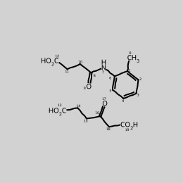 Cc1ccccc1NC(=O)CCC(=O)O.O=C(O)CCC(=O)CC(=O)O